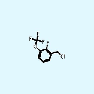 Fc1c(CCl)cccc1OC(F)(F)F